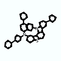 c1ccc(-c2ccc(N(c3ccc(-c4ccccc4)cc3)c3ccc4sc5ccc6c7cc(-c8ccccc8)ccc7n(-c7ccccc7)c6c5c4c3)cc2)cc1